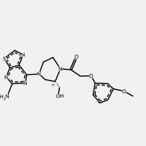 COc1cccc(OCC(=O)N2CCN(c3nc(N)nc4scnc34)C[C@H]2CO)c1